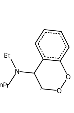 CCCN(CC)C1[C]OOc2ccccc21